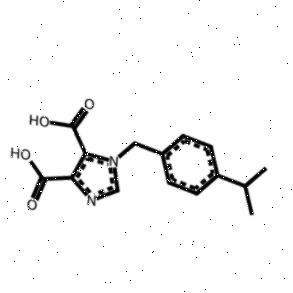 CC(C)c1ccc(Cn2cnc(C(=O)O)c2C(=O)O)cc1